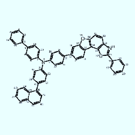 c1ccc(-c2ccc(N(c3ccc(-c4ccc5c(c4)oc4ccc6nc(-c7ccccc7)oc6c45)cc3)c3ccc(-c4cccc5ccccc45)cc3)cc2)cc1